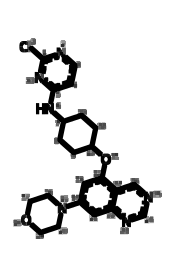 Clc1nccc(NC2CCC(Oc3cc(N4CCOCC4)cc4ncncc34)CC2)n1